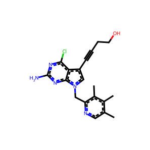 Cc1cnc(Cn2cc(C#CCCO)c3c(Cl)nc(N)nc32)c(C)c1C